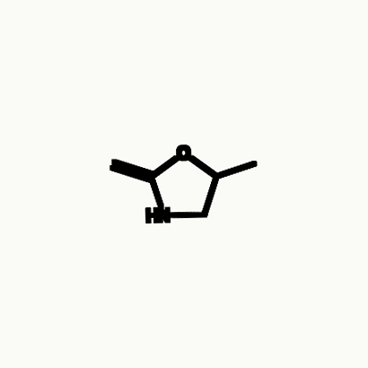 C=C1NCC(C)O1